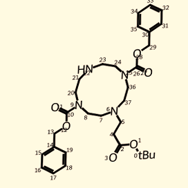 CC(C)(C)OC(=O)CCN1CCN(C(=O)OCc2ccccc2)CCNCCN(C(=O)OCc2ccccc2)CC1